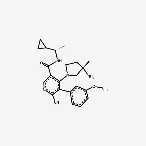 C[C@H](NC(=O)c1cnc(C#N)c(-c2cccc(OC(F)(F)F)c2)c1N1CC[C@](C)(N)C1)C1CC1